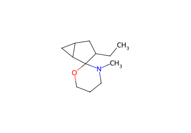 CCC1CC2CC2C12OCCCN2C